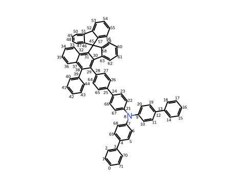 c1ccc(-c2ccc(N(c3ccc(-c4ccccc4)cc3)c3ccc(-c4ccc(-c5c6c(c7ccccc7c5-c5ccccc5)C5(c7ccccc7-c7ccccc75)c5ccccc5-6)cc4)cc3)cc2)cc1